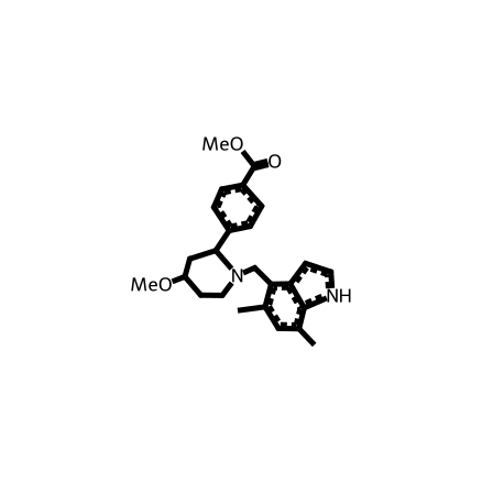 COC(=O)c1ccc(C2CC(OC)CCN2Cc2c(C)cc(C)c3[nH]ccc23)cc1